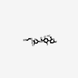 C#Cc1nc(F)ccc1-c1cc(Cl)c(C(=O)Nc2cnc(N/N=C\C=N)c(Cl)c2)cc1F